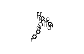 O=C(Nc1ccc(C(F)(F)F)nc1C1CC[N+]([O-])(Cc2ccc(-c3ccc(F)cc3)cc2)CC1)c1ccnc(Cl)c1